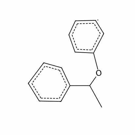 CC(Oc1c[c]ccc1)c1ccccc1